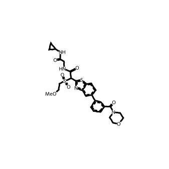 COCCS(=O)(=O)C(C(=O)NCC(=O)NC1CC1)c1nc2cc(-c3cccc(C(=O)N4CCOCC4)c3)ccc2s1